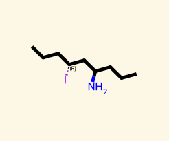 CCCC(N)C[C@H](I)CCC